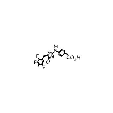 Cc1c(F)cc(C=C2SC(Nc3ccc(CC(=O)O)cc3)=NC2=O)c(F)c1F